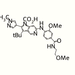 COCCNC(=O)c1ccc(Nc2cc3c(cn2)c(C(C)(C)C)c(-c2cnn(C)c2)n3C(=O)O)c(OC)c1